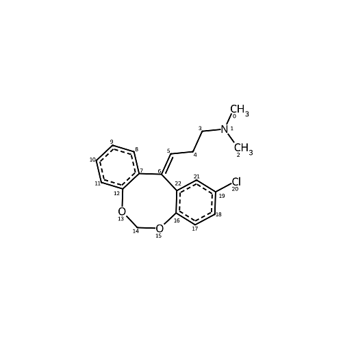 CN(C)CCC=C1c2ccccc2OCOc2ccc(Cl)cc21